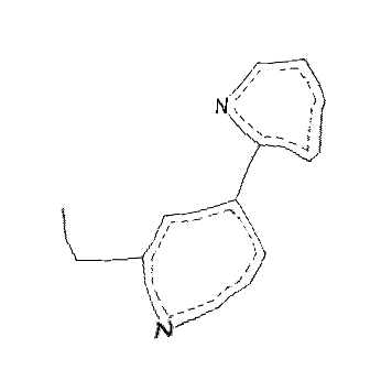 CCc1cc(-c2ccccn2)ccn1